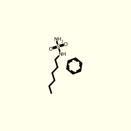 CCCCCCNS(N)(=O)=O.c1ccccc1